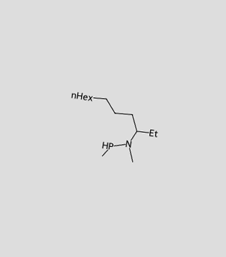 CCCCCCCCCC(CC)N(C)PC